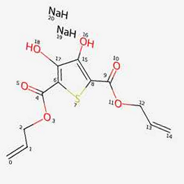 C=CCOC(=O)c1sc(C(=O)OCC=C)c(O)c1O.[NaH].[NaH]